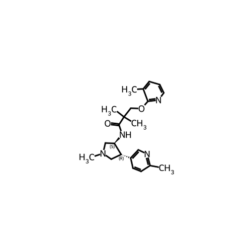 Cc1ccc([C@@H]2CN(C)C[C@H]2NC(=O)C(C)(C)COc2ncccc2C)cn1